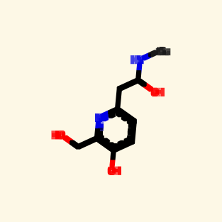 CC(C)(C)NC(O)Cc1ccc(O)c(CO)n1